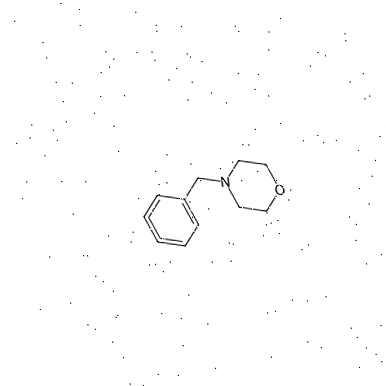 C1=C=CC(CN2CCOCC2)=CC=1